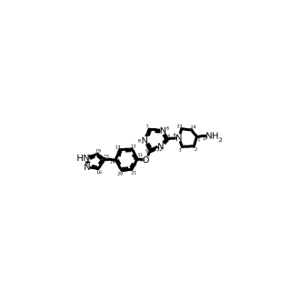 NC1CCN(c2ncnc(Oc3ccc(-c4cn[nH]c4)cc3)n2)CC1